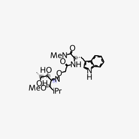 CNC(=O)[C@H](Cc1c[nH]c2ccccc12)NC(=O)CO/N=C(/[C@@H](OC)C(C)C)[C@@H](O)[C@@H](C)O